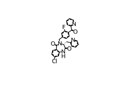 O=C(c1ccccn1)c1ccc(CN2C(=O)c3ccc(Cl)cc3NC(=O)[C@H]2Cc2ccccn2)cc1F